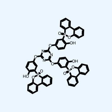 O=P1(c2cc(Oc3nc(Oc4ccc(O)c(P5(=O)Oc6ccccc6-c6ccccc65)c4)nc(Oc4ccc(O)c(P5(=O)Oc6ccccc6-c6ccccc65)c4)n3)ccc2O)Oc2ccccc2-c2ccccc21